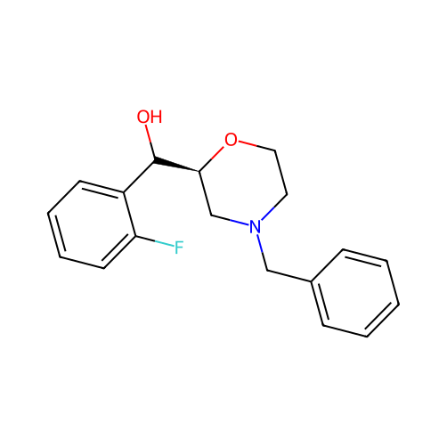 OC(c1ccccc1F)[C@@H]1CN(Cc2ccccc2)CCO1